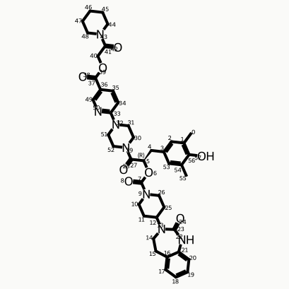 Cc1cc(C[C@@H](OC(=O)N2CCC(N3CCc4ccccc4NC3=O)CC2)C(=O)N2CCN(c3ccc(C(=O)OCC(=O)N4CCCCC4)cn3)CC2)cc(C)c1O